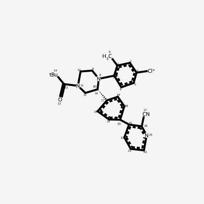 Cc1cc(Cl)ccc1N1CCN(C(=O)C(C)(C)C)C[C@H]1c1ccc(-c2cccnc2C#N)cc1